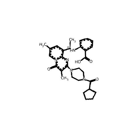 Cc1cc([C@@H](C)Nc2ccccc2C(=O)O)c2nc(N3CCN(C(=O)C4CCCC4)CC3)c(C)c(=O)n2c1